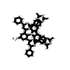 Cc1nc(C)nc(-c2ccc3c(c2)c2cc(-c4nc(C)nc(C)n4)ccc2n3-c2c(-c3cc(-c4ccccc4)nc(-c4ccccc4)n3)cc(C(F)(F)F)cc2-c2cc(-c3ccccc3)nc(-c3ccccc3)n2)n1